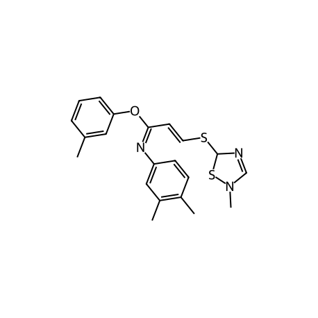 Cc1cccc(OC(C=CSC2N=CN(C)S2)=Nc2ccc(C)c(C)c2)c1